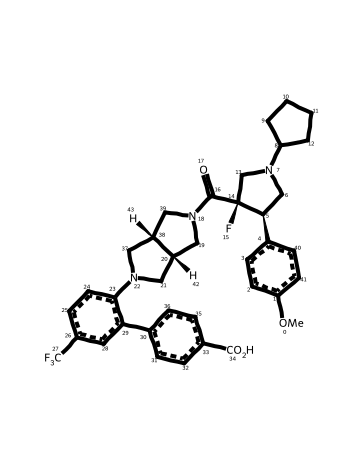 COc1ccc([C@@H]2CN(C3CCCC3)C[C@@]2(F)C(=O)N2C[C@@H]3CN(c4ccc(C(F)(F)F)cc4-c4ccc(C(=O)O)cc4)C[C@@H]3C2)cc1